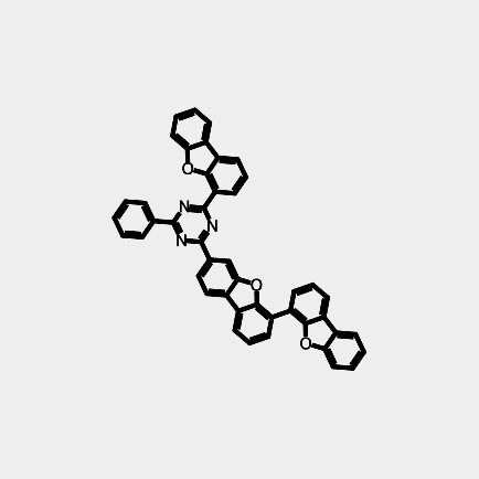 c1ccc(-c2nc(-c3ccc4c(c3)oc3c(-c5cccc6c5oc5ccccc56)cccc34)nc(-c3cccc4c3oc3ccccc34)n2)cc1